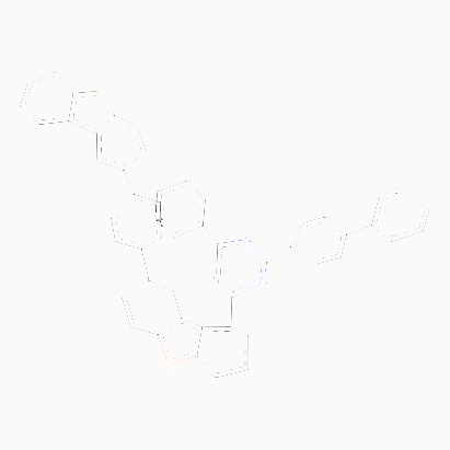 C1=CC(c2ccc(-c3ccc4sc5ccccc5c4c3)cc2)Cc2c1oc1cccc(-c3nc(-c4ccccc4)nc(-c4ccc(-c5ccccc5)cc4)n3)c21